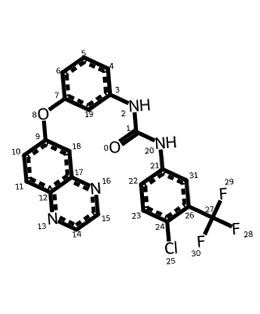 O=C(Nc1cccc(Oc2ccc3nccnc3c2)c1)Nc1ccc(Cl)c(C(F)(F)F)c1